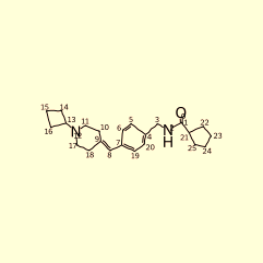 O=C(NCc1ccc(C=C2CCN(C3CCC3)CC2)cc1)C1CCCC1